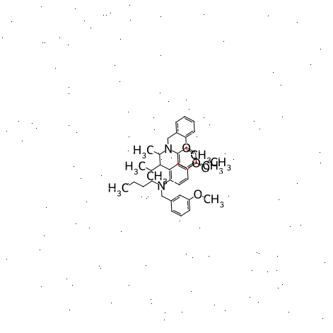 CCCC(C)N(Cc1cccc(OC)c1)c1ccc(OC)cc1C(CC)C(C)N(Cc1ccccc1OC)c1ccc(OC)cc1